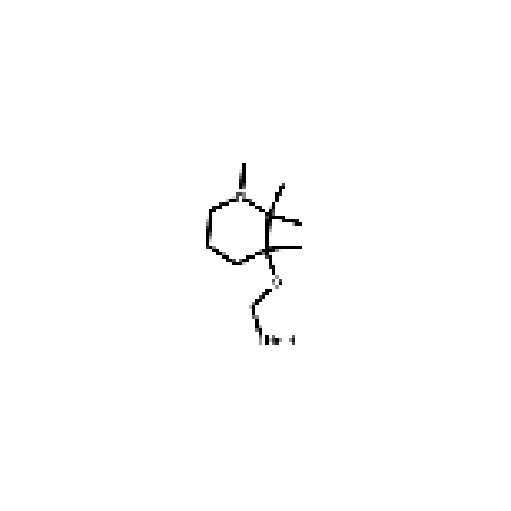 CCCCCCCCOC1(C)CCCN(C)C1(C)C